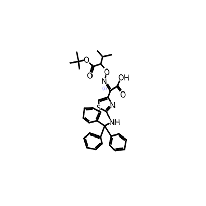 CC(C)C(O/N=C(\C(=O)O)c1csc(NC(c2ccccc2)(c2ccccc2)c2ccccc2)n1)C(=O)OC(C)(C)C